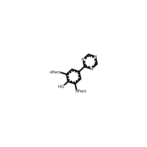 CCCCCc1cc(-c2ncncn2)cc(CCCCC)c1O